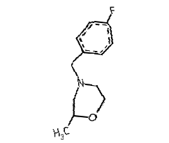 CC1CN(Cc2ccc(F)cc2)CCO1